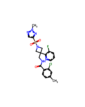 Cc1ccc(C(=O)NCC2(c3ncccc3F)CN(S(=O)(=O)c3cnn(C)n3)C2)c(Cl)c1